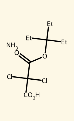 CCC(CC)(CC)OC(=O)C(Cl)(Cl)C(=O)O.N